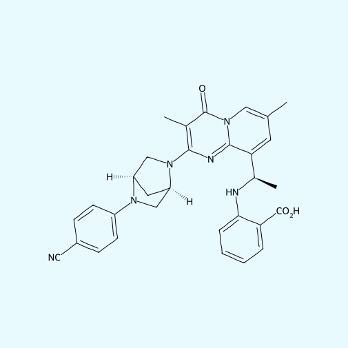 Cc1cc([C@@H](C)Nc2ccccc2C(=O)O)c2nc(N3C[C@H]4C[C@@H]3CN4c3ccc(C#N)cc3)c(C)c(=O)n2c1